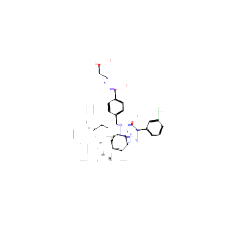 CC(C)(C)CC[C@H](c1ccc(C(=O)NCCC(=O)O)cc1)N1C(=O)C(c2cccc(F)c2)=NC12CCC([Si](C)(C)C)CC2